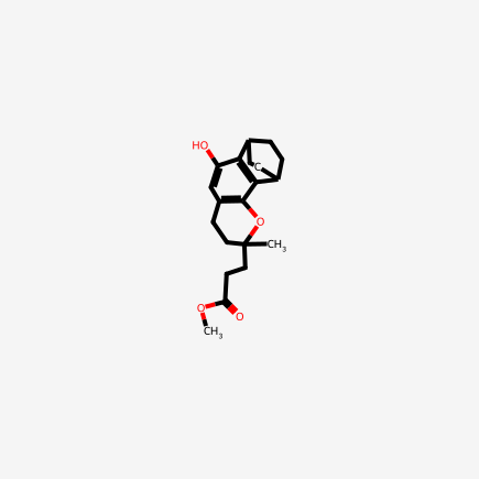 COC(=O)CCC1(C)CCc2cc(O)c3c(c2O1)C1CCC3CC1